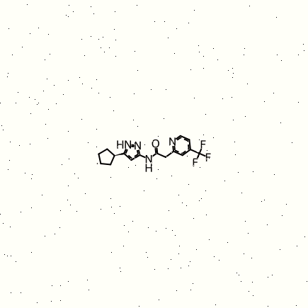 O=C(Cc1cc(C(F)(F)F)ccn1)Nc1cc([C@H]2C[CH]CC2)[nH]n1